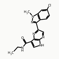 CCNC(=O)c1c[nH]c2ncc(-c3nn(C)c4cc(Cl)ccc34)nc12